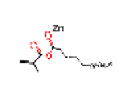 C=C(C)C(=O)OC(=O)CCCCCCCCCCC.[Zn]